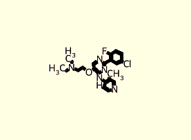 CCN(CC)CCOc1cnc(-c2cc(Cl)ccc2F)nc1Nc1ccncc1C